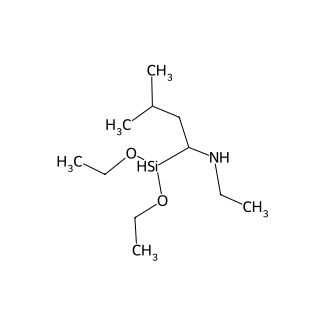 CCNC(CC(C)C)[SiH](OCC)OCC